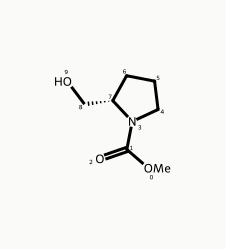 COC(=O)N1CCC[C@H]1CO